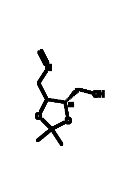 C=NCC1OC(C)(C)O[C@H]1CO